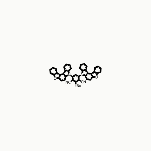 CC(C)(C)c1c(C#N)c(-n2c3ccccc3c3c4c(ccc32)oc2ccccc24)cc(-n2c3ccccc3c3c4c(ccc32)oc2ccccc24)c1C#N